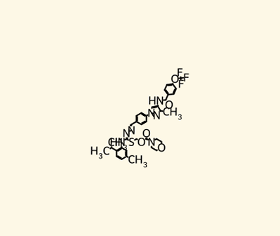 Cc1ccc(C(C)C)c(N/C(=N/N=C/c2ccc(-n3cc(NC(=O)c4ccc(OC(F)(F)F)cc4)c(C)n3)cc2)SCOC(=O)N2CCOCC2)c1